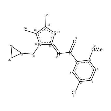 COc1ccc(Cl)cc1C(=O)/N=c1\sc(C)c(C)n1CC1CC1